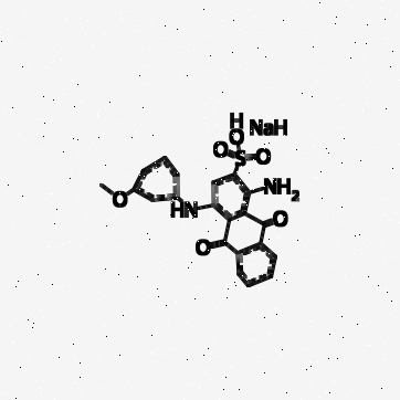 COc1cccc(Nc2cc(S(=O)(=O)O)c(N)c3c2C(=O)c2ccccc2C3=O)c1.[NaH]